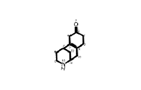 O=C1CCC2=C(C1)C1CCNC(C2)C1